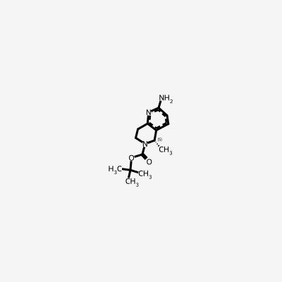 C[C@H]1c2ccc(N)nc2CCN1C(=O)OC(C)(C)C